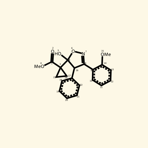 COC(=O)C1(C2(O)ON=C(c3ccccc3OC)C2c2ccccc2)CC1